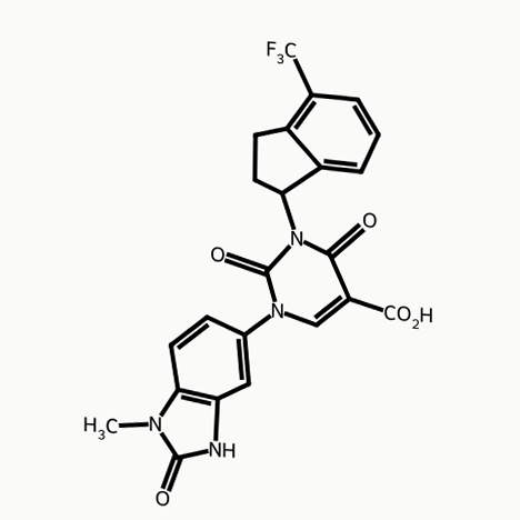 Cn1c(=O)[nH]c2cc(-n3cc(C(=O)O)c(=O)n(C4CCc5c4cccc5C(F)(F)F)c3=O)ccc21